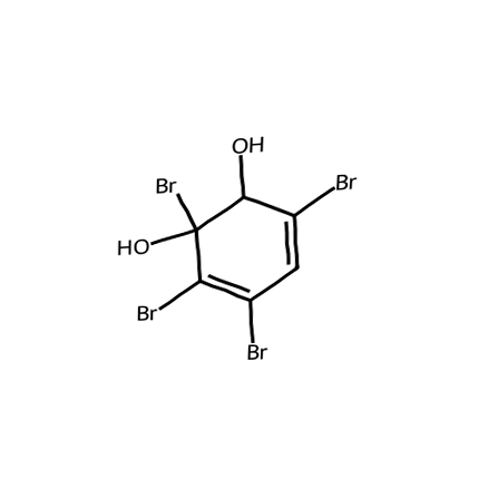 OC1C(Br)=CC(Br)=C(Br)C1(O)Br